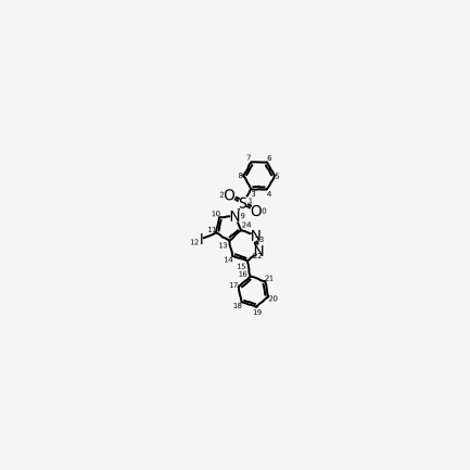 O=S(=O)(c1ccccc1)n1cc(I)c2cc(-c3ccccc3)nnc21